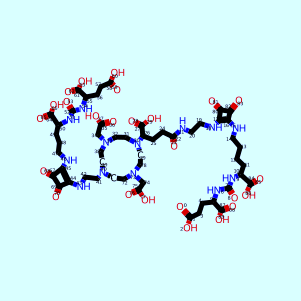 O=C(O)CCC(NC(=O)NC(CCCCNc1c(NCCNC(=O)CCC(C(=O)O)N2CCN(CC(=O)O)CCN(CCNc3c(NCCCC(NC(=O)NC(CCC(=O)O)C(=O)O)C(=O)O)c(=O)c3=O)CCN(CC(=O)O)CC2)c(=O)c1=O)C(=O)O)C(=O)O